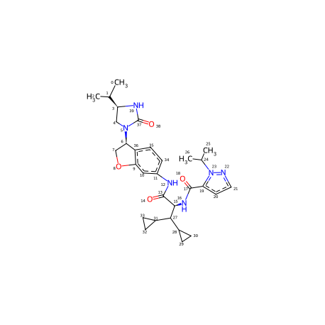 CC(C)[C@@H]1CN([C@@H]2COc3cc(NC(=O)[C@@H](NC(=O)c4ccnn4C(C)C)C(C4CC4)C4CC4)ccc32)C(=O)N1